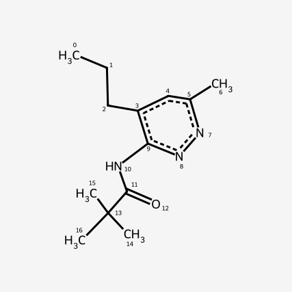 CCCc1cc(C)nnc1NC(=O)C(C)(C)C